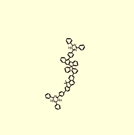 CC1(C)c2cc(-c3ccc(C4=NC(c5ccccc5)NC(c5ccccc5)N4)cc3)ccc2-c2ccc3cc(-c4cccc(C5(c6ccccc6)c6ccccc6-c6c5cc5ccccc5c6-c5ccc(C6=NC(c7ccccc7)=NC(c7ccccc7)N6)cc5)c4)ccc3c21